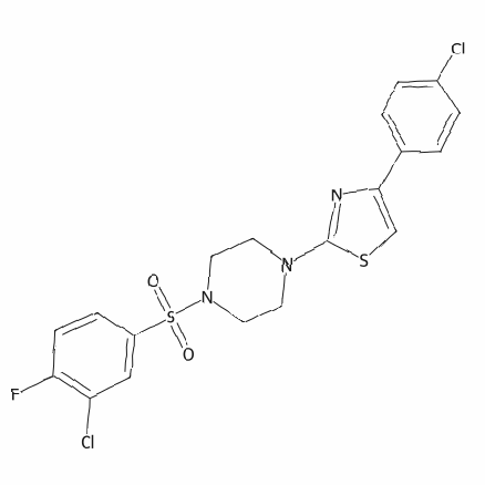 O=S(=O)(c1ccc(F)c(Cl)c1)N1CCN(c2nc(-c3ccc(Cl)cc3)cs2)CC1